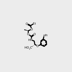 CCCc1cccc(O[C@@H](CNC(=O)O[C@@H](C)OC(=O)CC)C(=O)O)c1